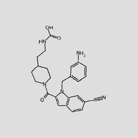 N#Cc1ccc2cc(C(=O)N3CCC(CCNC(=O)O)CC3)n(Cc3cccc(N)c3)c2c1